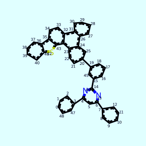 c1ccc(-c2cc(-c3ccccc3)nc(-c3cccc(-c4ccc5c(c4)c4ccccc4c4ccc6c7ccccc7sc6c45)c3)n2)cc1